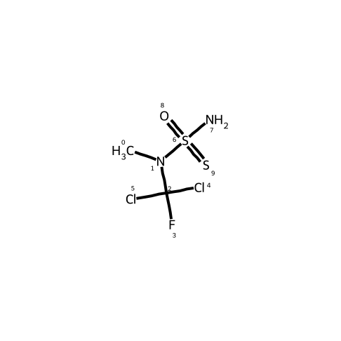 CN(C(F)(Cl)Cl)S(N)(=O)=S